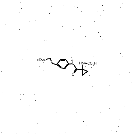 CCCCCCCCCCCCc1ccc(NC(=O)C2(NC(=O)O)CC2)cc1